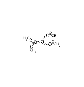 C=CC(=O)c1ccc(CCCc2cc(CCCc3ccc(C(=O)C=C)cc3)cc(CCc3ccc(N(c4ccc(C)cc4)c4ccc(C)cc4)cc3)c2)cc1